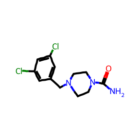 NC(=O)N1CCN(Cc2cc(Cl)cc(Cl)c2)CC1